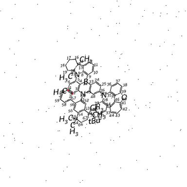 Cc1cc2c3c(c1)N1c4c(cccc4C4(C)CCCCC14C)B3c1ccc(N(c3ccc(C(C)(C)C)cc3)c3cccc4oc5ccccc5c34)cc1N2c1cc2c(cc1-c1ccccc1)C(C)(C)CCC2(C)C